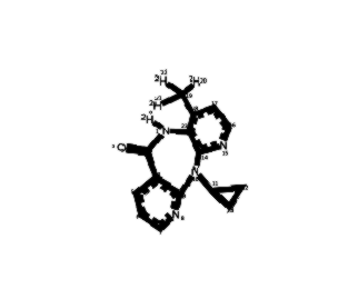 [2H]N1C(=O)c2cccnc2N(C2CC2)c2nccc(C([2H])([2H])[2H])c21